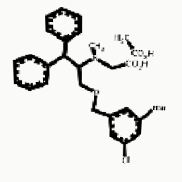 CC(=O)O.CN(CC(=O)O)C(COCc1cc(Cl)cc(C(C)(C)C)c1)C(c1ccccc1)c1ccccc1